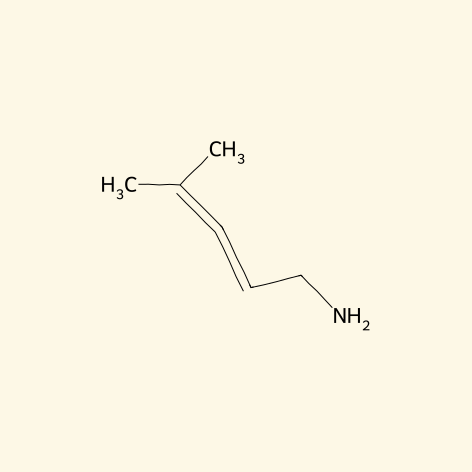 CC(C)=C=CCN